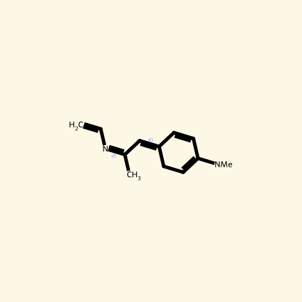 C=C/N=C(C)\C=C1\C=CC(NC)=CC1